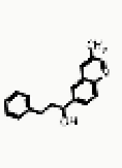 Cc1cnc2ccc(C(O)CCc3ccccc3)cc2c1